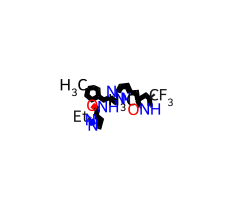 CCn1nccc1C(=O)N[C@H](c1cn2nc(CC3(C)C[C@@H](C(F)(F)F)CNC3=O)ccc2n1)C1CCC(C)CC1